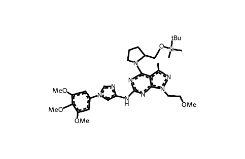 COCCn1nc(C)c2c(N3CCCC3CO[Si](C)(C)C(C)(C)C)nc(Nc3cn(-c4cc(OC)c(OC)c(OC)c4)cn3)nc21